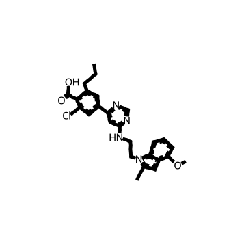 CCCc1cc(-c2cc(NCCn3c(C)cc4c(OC)cccc43)ncn2)cc(Cl)c1C(=O)O